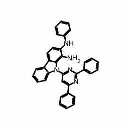 Nc1c(Nc2ccccc2)ccc2c3ccccc3n(-c3cc(-c4ccccc4)nc(-c4ccccc4)n3)c12